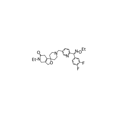 CCON=C(c1ccc(F)c(F)c1)c1ccc(CN2CCC3(CC2)OCC2=C3CC(=O)N(CC)C2)cn1